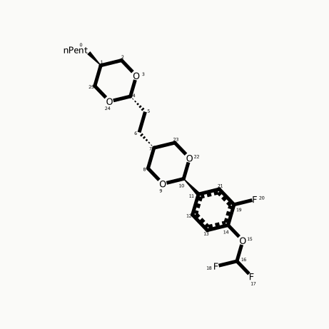 CCCCC[C@H]1CO[C@H](CC[C@H]2CO[C@H](c3ccc(OC(F)F)c(F)c3)OC2)OC1